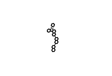 c1ccc(-n2c3ccccc3c3c4ccc(-c5ccc6ccc(-c7ccc8ccccc8c7)cc6c5)cc4ccc32)cc1